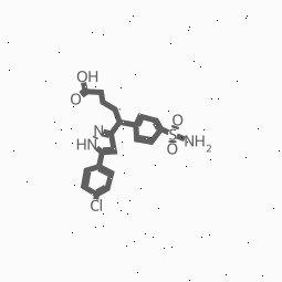 NS(=O)(=O)c1ccc(C([CH]CCC(=O)O)c2cc(-c3ccc(Cl)cc3)[nH]n2)cc1